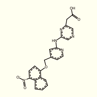 O=C(O)Cc1cncc(Nc2cc(COc3ccc([N+](=O)[O-])c4ccccc34)ccn2)n1